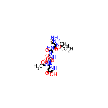 C[C@@H](O)Cn1c(-c2cc(=O)c(O)c[nH]2)nn(S(=O)(=O)NC(=O)N2C[C@H](NC(=O)/C(=N\OC(C)(C)C(=O)O)c3csc(N)n3)C2=O)c1=O